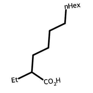 CCCCCCCCCCC(CC)C(=O)O